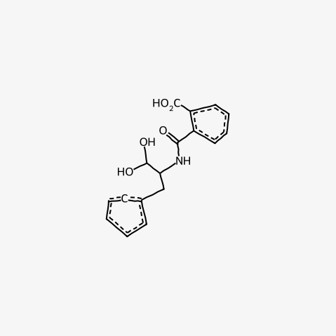 O=C(O)c1ccccc1C(=O)NC(Cc1ccccc1)C(O)O